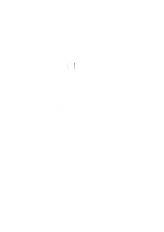 C=Cc1ccccc1C(=C)CCl